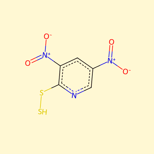 O=[N+]([O-])c1cnc(SS)c([N+](=O)[O-])c1